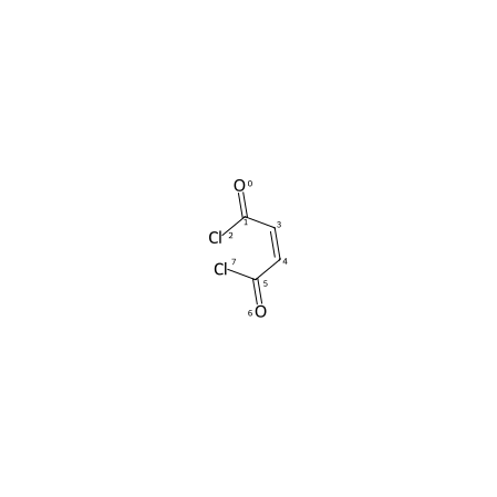 O=C(Cl)/C=C\C(=O)Cl